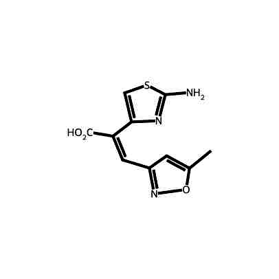 Cc1cc(C=C(C(=O)O)c2csc(N)n2)no1